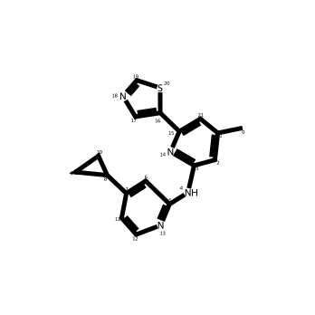 Cc1cc(Nc2cc(C3CC3)ccn2)nc(-c2cncs2)c1